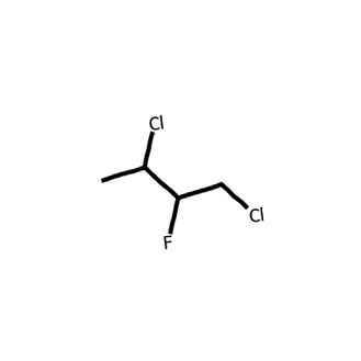 CC(Cl)C(F)CCl